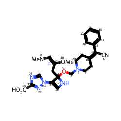 CN/C=C(\CC1(OCN2CCC(=C(C#N)c3ccccc3)CC2)NC=C1n1cnc(C(=O)O)n1)OC